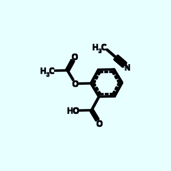 CC#N.CC(=O)Oc1ccccc1C(=O)O